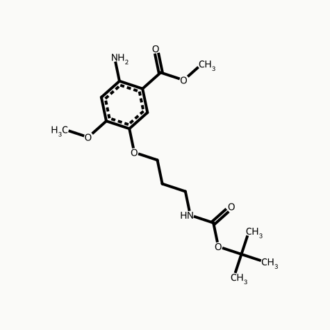 COC(=O)c1cc(OCCCNC(=O)OC(C)(C)C)c(OC)cc1N